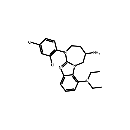 CCN(CC)c1cccc2nc3n(c12)CC(N)CCN3c1ccc(Cl)cc1Cl